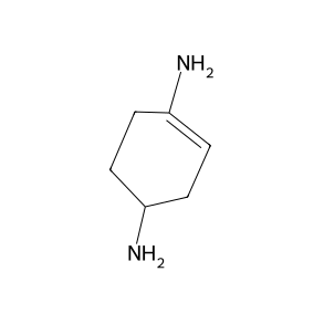 NC1=CCC(N)CC1